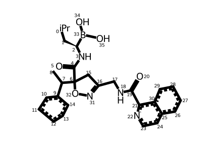 CC(C)C[C@H](NC(=O)C1(C(C)c2ccccc2)CC(CNC(=O)c2nccc3ccccc23)=NO1)B(O)O